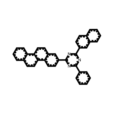 c1ccc(-c2nc(-c3ccc4ccccc4c3)nc(-c3ccc4c(ccc5c6ccccc6ccc45)c3)n2)cc1